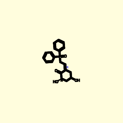 O=C1/C(=C\CP(=O)(c2ccccc2)c2ccccc2)CC(O)C[C@@H]1O